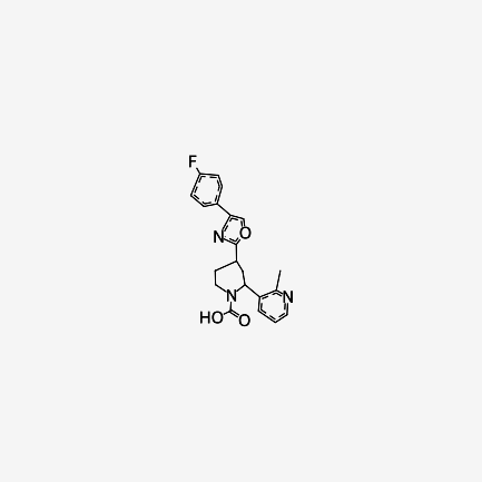 Cc1ncccc1C1CC(c2nc(-c3ccc(F)cc3)co2)CCN1C(=O)O